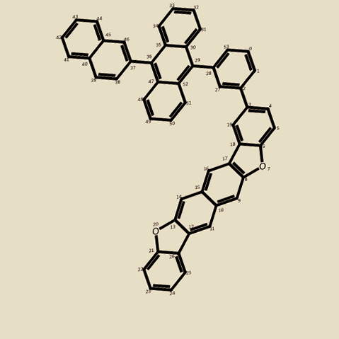 c1cc(-c2ccc3oc4cc5cc6c(cc5cc4c3c2)oc2ccccc26)cc(-c2c3ccccc3c(-c3ccc4ccccc4c3)c3ccccc23)c1